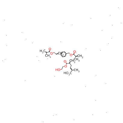 C=C(C)C(=O)OCc1ccccc1.C=C(CC=C(C)C(=O)O)C(=O)OCCO.C=CCOC(=O)C(=C)C